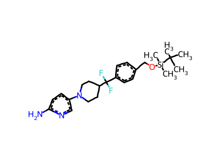 CC(C)(C)[Si](C)(C)OCc1ccc(C(F)(F)C2CCN(c3ccc(N)nc3)CC2)cc1